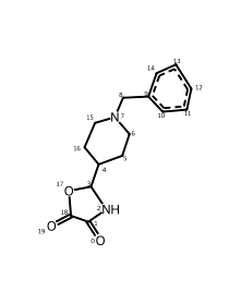 O=C1NC(C2CCN(Cc3ccccc3)CC2)OC1=O